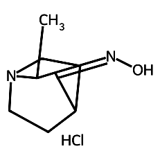 CC1C(=NO)C2CCN1CC2.Cl